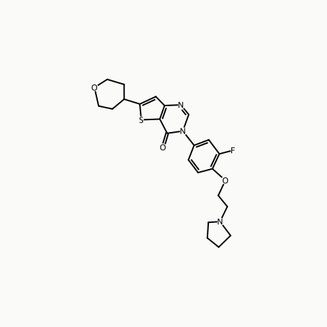 O=c1c2sc(C3CCOCC3)cc2ncn1-c1ccc(OCCN2CCCC2)c(F)c1